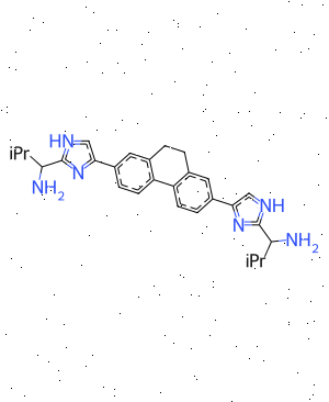 CC(C)C(N)c1nc(-c2ccc3c(c2)CCc2cc(-c4c[nH]c(C(N)C(C)C)n4)ccc2-3)c[nH]1